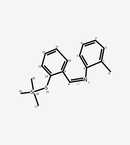 Cc1ccccc1/N=C\c1ccccc1S[Si](C)(C)C